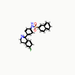 O=S(=O)(Nc1ccc(C2=NCCc3cc(F)ccc32)cc1)c1ccc2ccccc2c1